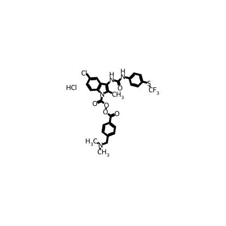 Cc1c(NC(=O)Nc2ccc(SC(F)(F)F)cc2)c2cc(Cl)ccc2n1C(=O)OOC(=O)c1ccc(CN(C)C)cc1.Cl